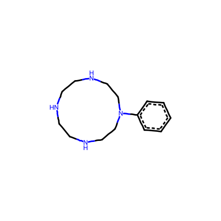 c1ccc(N2CCNCCNCCNCC2)cc1